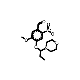 CCC(Oc1cc([N+](=O)[O-])c(C=O)cc1OC)N1CCOCC1